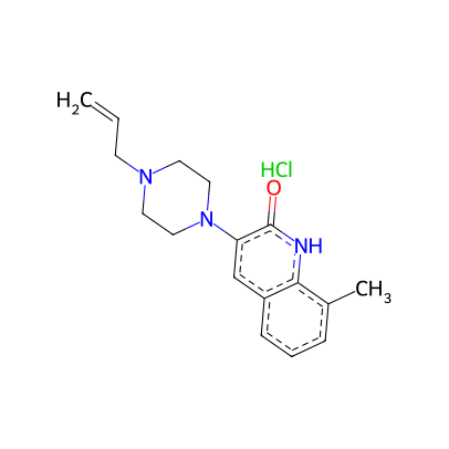 C=CCN1CCN(c2cc3cccc(C)c3[nH]c2=O)CC1.Cl